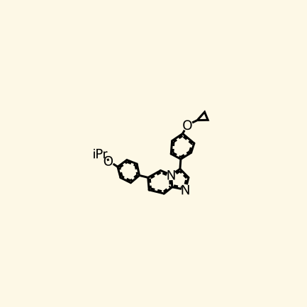 CC(C)Oc1ccc(-c2ccc3ncc(-c4ccc(OC5CC5)cc4)n3c2)cc1